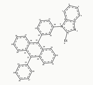 CCc1nc2ccccc2n1-c1cccc(-c2c3ccccc3c(-c3ccccc3)c3ccccc23)c1